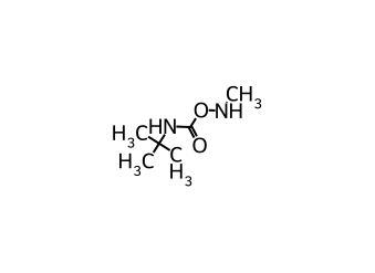 CNOC(=O)NC(C)(C)C